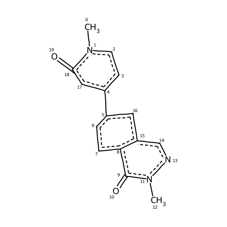 Cn1ccc(-c2ccc3c(=O)n(C)ncc3c2)cc1=O